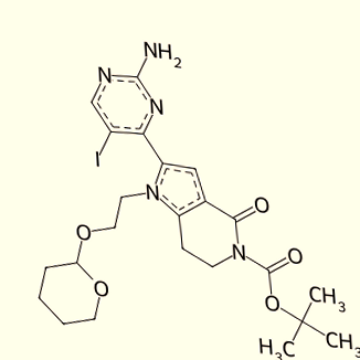 CC(C)(C)OC(=O)N1CCc2c(cc(-c3nc(N)ncc3I)n2CCOC2CCCCO2)C1=O